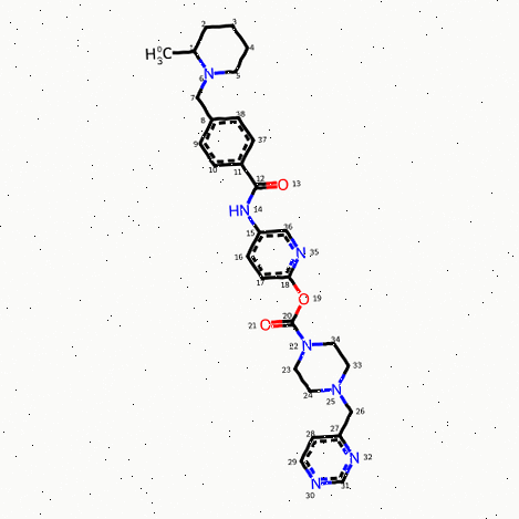 CC1CCCCN1Cc1ccc(C(=O)Nc2ccc(OC(=O)N3CCN(Cc4ccncn4)CC3)nc2)cc1